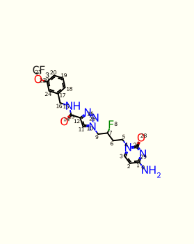 Nc1ccn(CCC(F)Cn2cc(C(=O)NCc3cccc(OC(F)(F)F)c3)nn2)c(=O)n1